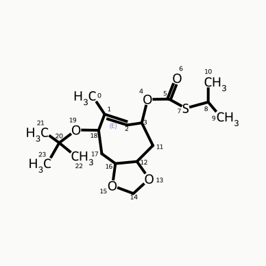 C/C1=C\C(OC(=O)SC(C)C)CC2OCOC2CC1OC(C)(C)C